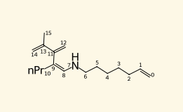 C=CCCCCCN/C=C(/CCC)C(=C)C(=C)C